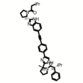 CC(C)CC(=O)N1CCC[C@H]1c1nc2cc(C#Cc3ccc(-c4c[nH]c([C@@]5(C)CCCN5C(=O)[C@@H](c5ccccc5)C(C)C)n4)cc3)ccc2[nH]1